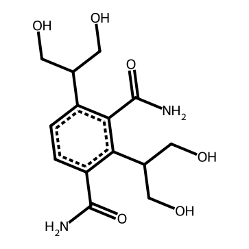 NC(=O)c1ccc(C(CO)CO)c(C(N)=O)c1C(CO)CO